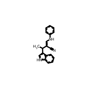 CC(C(C#N)=CNc1ccccc1)c1c[nH]c2ccccc12